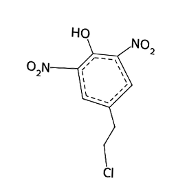 O=[N+]([O-])c1cc(CCCl)cc([N+](=O)[O-])c1O